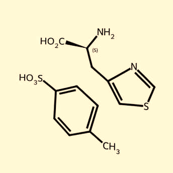 Cc1ccc(S(=O)(=O)O)cc1.N[C@@H](Cc1cscn1)C(=O)O